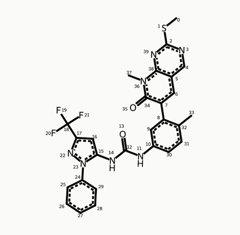 CSc1ncc2cc(-c3cc(NC(=O)Nc4cc(C(F)(F)F)nn4-c4ccccc4)ccc3C)c(=O)n(C)c2n1